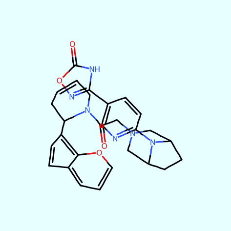 O=C(CN1CC2CCC(C1)N2c1ccc(-c2noc(=O)[nH]2)cn1)N1CC=CCC1c1ccc2cccoc1-2